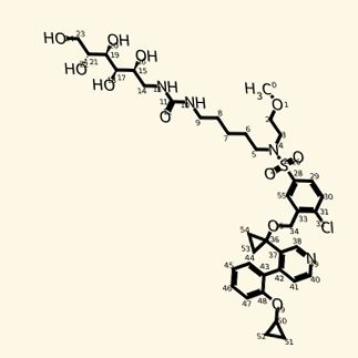 COCCN(CCCCCNC(=O)NC[C@H](O)[C@@H](O)[C@H](O)[C@H](O)CO)S(=O)(=O)c1ccc(Cl)c(COC2(c3cnccc3-c3ccccc3OC3CC3)CC2)c1